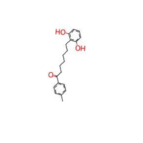 Cc1ccc(C(=O)CCCCCCc2c(O)cccc2O)cc1